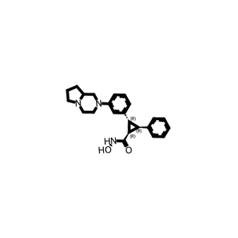 O=C(NO)[C@@H]1[C@H](c2ccccc2)[C@H]1c1cccc(N2CCN3CCCC3C2)c1